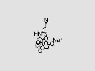 N#CCCC(=S)N[C@H]1CON(C2(C(=O)[O-])CCC(=O)O2)C1=O.[Na+]